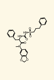 CN(C(=O)C(Cc1ccccc1)NC(=O)NS(=O)(=O)CCCc1ccccc1)c1ccc2c(c1)OCO2